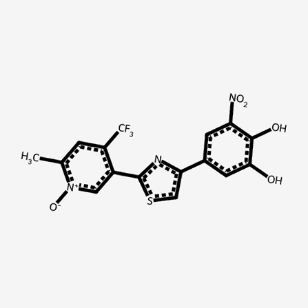 Cc1cc(C(F)(F)F)c(-c2nc(-c3cc(O)c(O)c([N+](=O)[O-])c3)cs2)c[n+]1[O-]